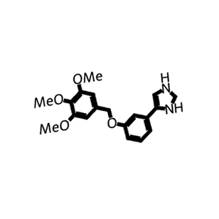 COc1cc(COc2cccc(C3=CNCN3)c2)cc(OC)c1OC